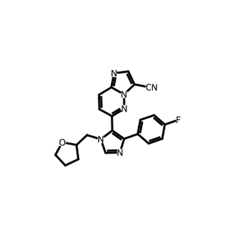 N#Cc1cnc2ccc(-c3c(-c4ccc(F)cc4)ncn3CC3CCCO3)nn12